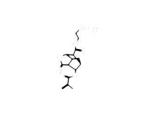 C=C(C)C(=O)OC1C2CC3C(OC(=O)C31)C2C(=O)OCCS(=O)(=O)O